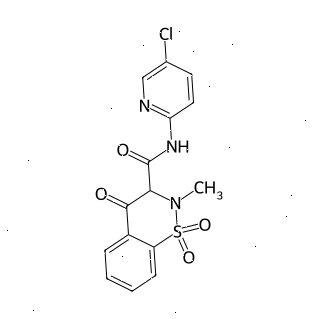 CN1C(C(=O)Nc2ccc(Cl)cn2)C(=O)c2ccccc2S1(=O)=O